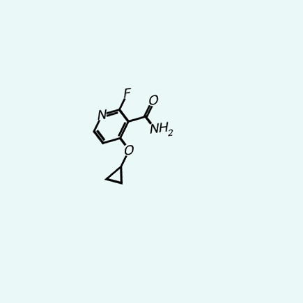 NC(=O)c1c(OC2CC2)ccnc1F